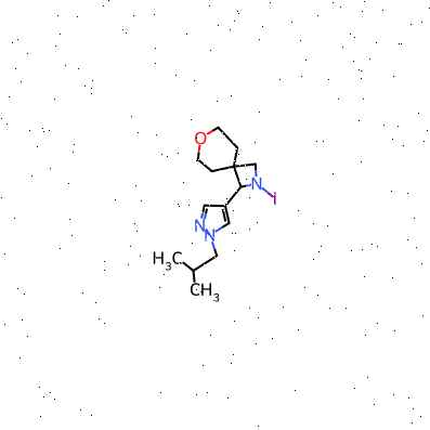 CC(C)Cn1cc(C2N(I)CC23CCOCC3)cn1